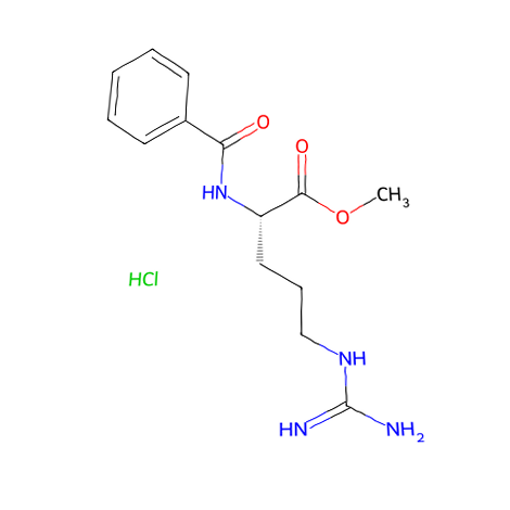 COC(=O)[C@H](CCCNC(=N)N)NC(=O)c1ccccc1.Cl